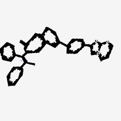 C/C(=C(/c1ccccc1)c1cc2cc(-c3ccc(-c4cn5cccnc5n4)cc3)ccc2cc1C)c1ccccc1